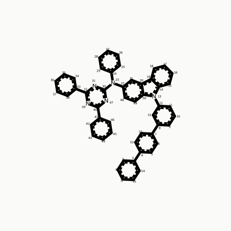 c1ccc(-c2ccc(-c3cccc(-n4c5ccccc5c5cc(N(c6ccccc6)c6nc(-c7ccccc7)nc(-c7ccccc7)n6)ccc54)c3)cc2)cc1